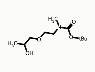 CC(O)COCCN(C)C(=O)OC(C)(C)C